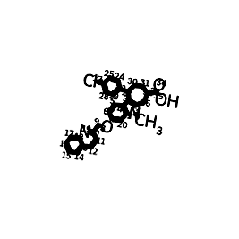 Cn1c2c(c3ccc(OCc4ccc5ccccc5n4)cc31)C(c1ccc(Cl)cc1)CCC(C(=O)O)C2